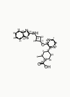 CC1CC(c2nccnc2OC2CC(Nc3nc4ccccc4s3)C2)CCN1C(=O)O